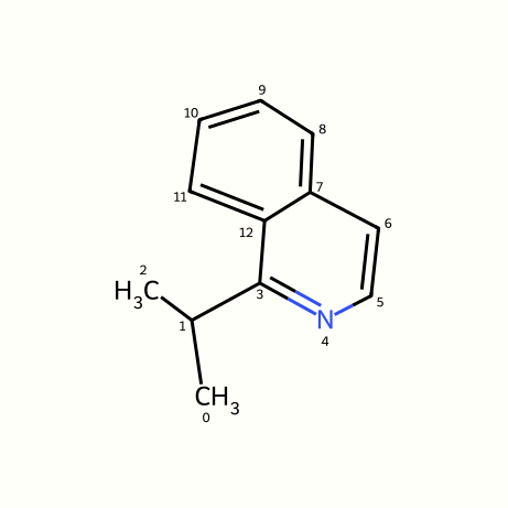 CC(C)c1nccc2ccccc12